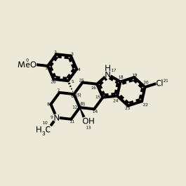 COc1cccc([C@@]23CCN(C)C[C@@]2(O)Cc2c([nH]c4cc(Cl)ccc24)C3)c1